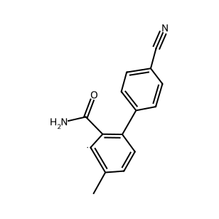 Cc1[c]c(C(N)=O)c(-c2ccc(C#N)cc2)cc1